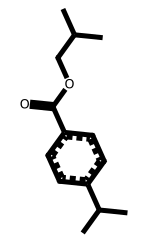 CC(C)COC(=O)c1ccc(C(C)C)cc1